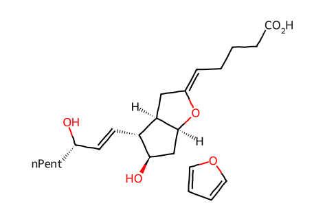 CCCCC[C@H](O)/C=C/[C@@H]1[C@H]2C/C(=C/CCCC(=O)O)O[C@H]2C[C@H]1O.c1ccoc1